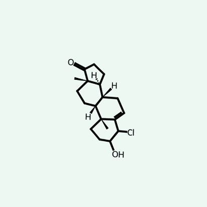 C[C@]12CCC(O)C(Cl)C1=CC[C@@H]1[C@H]2CC[C@]2(C)C(=O)CC[C@@H]12